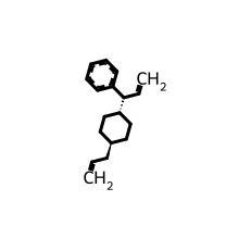 C=CC[C@H]1CC[C@H](C(C=C)c2ccccc2)CC1